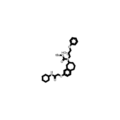 CC(C)(C)OC(=O)N(C[C@H](O)COc1ccccc1)C1CCCc2ccc(OCC(=O)NC3CCCCC3)cc2C1